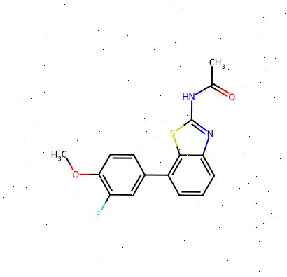 COc1ccc(-c2cccc3nc(NC(C)=O)sc23)cc1F